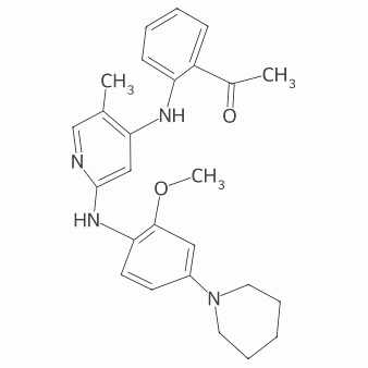 COc1cc(N2CCCCC2)ccc1Nc1cc(Nc2ccccc2C(C)=O)c(C)cn1